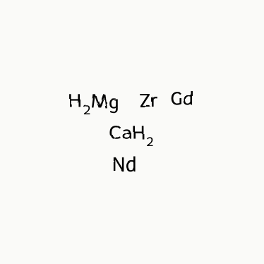 [CaH2].[Gd].[MgH2].[Nd].[Zr]